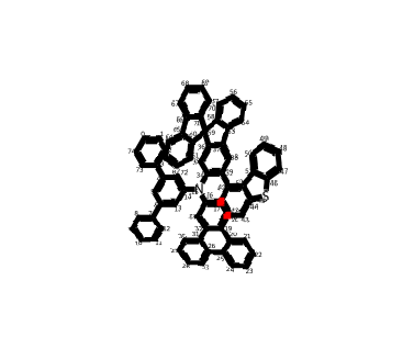 c1ccc(-c2cc(-c3ccccc3)cc(N(c3ccc4c5ccccc5c5ccccc5c4c3)c3cc4c(cc3-c3cccc5sc6ccccc6c35)-c3ccccc3C43c4ccccc4-c4ccccc43)c2)cc1